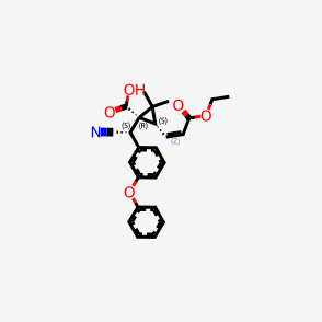 CCOC(=O)/C=C\[C@H]1C(C)(C)[C@]1(C(=O)O)[C@@H](C#N)c1cccc(Oc2ccccc2)c1